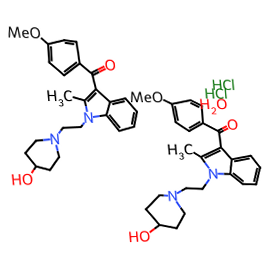 COc1ccc(C(=O)c2c(C)n(CCN3CCC(O)CC3)c3ccccc23)cc1.COc1ccc(C(=O)c2c(C)n(CCN3CCC(O)CC3)c3ccccc23)cc1.Cl.Cl.O